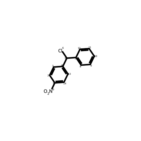 O=[N+]([O-])c1ccc(C(Cl)c2ccccc2)cc1